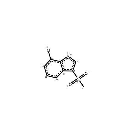 CS(=O)(=O)c1c[nH]c2c(Cl)cccc12